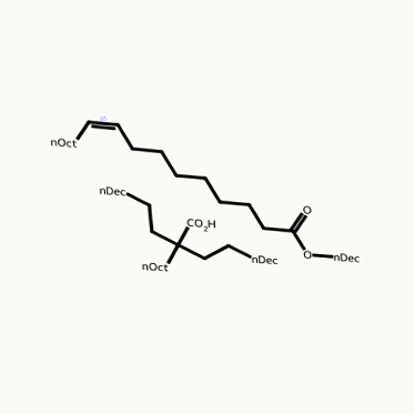 CCCCCCCC/C=C\CCCCCCCC(=O)OCCCCCCCCCC.CCCCCCCCCCCCC(CCCCCCCC)(CCCCCCCCCCCC)C(=O)O